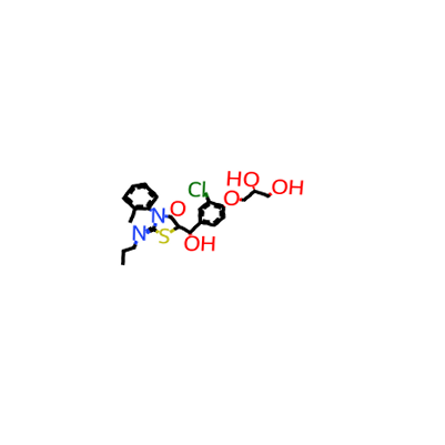 CCC/N=C1\SC(C(O)c2ccc(OC[C@H](O)CO)c(Cl)c2)C(=O)N1c1ccccc1C